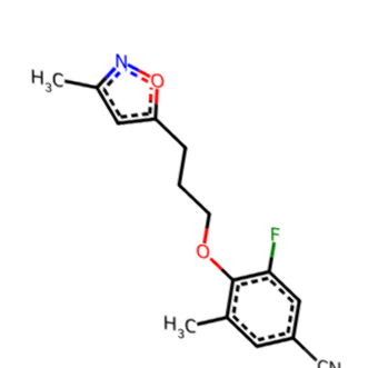 Cc1cc(CCCOc2c(C)cc(C#N)cc2F)on1